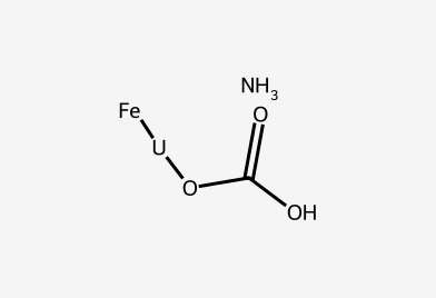 N.O=C(O)[O][U][Fe]